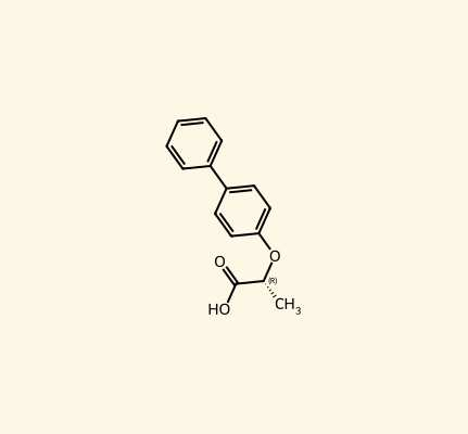 C[C@@H](Oc1ccc(-c2ccccc2)cc1)C(=O)O